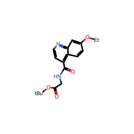 CCOc1ccc2c(C(=O)NCC(=O)OC(C)(C)C)ccnc2c1